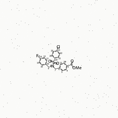 COC(=O)c1ccc(CN(Cc2ccc(F)cc2)S(=O)(=O)c2ccc(Cl)cc2)cc1